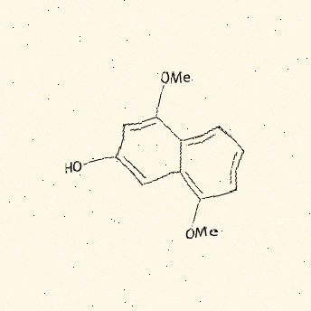 COc1cc(O)cc2c(OC)cccc12